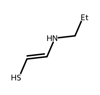 CCCN/C=C/S